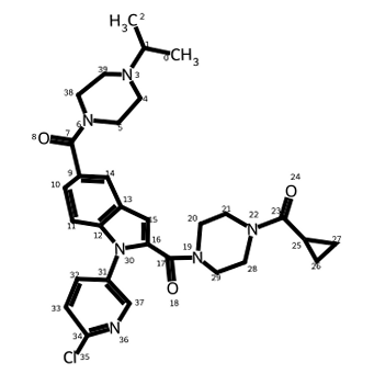 CC(C)N1CCN(C(=O)c2ccc3c(c2)cc(C(=O)N2CCN(C(=O)C4CC4)CC2)n3-c2ccc(Cl)nc2)CC1